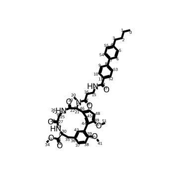 CCCCc1ccc(-c2ccc(C(=O)NCCC(=O)N(C)[C@@H]3C(=O)N[C@@H](C)C(=O)N[C@H](C(=O)OC)Cc4ccc(OC)c(c4)-c4cc3ccc4OC)cc2)cc1